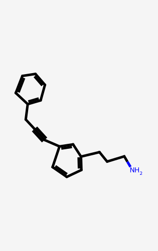 NCCCc1cccc(C#CCc2ccccc2)c1